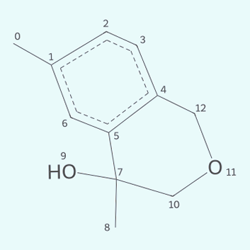 Cc1ccc2c(c1)C(C)(O)COC2